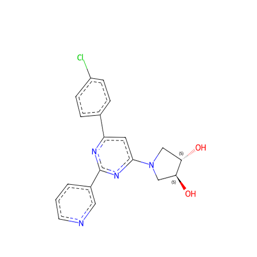 O[C@H]1CN(c2cc(-c3ccc(Cl)cc3)nc(-c3cccnc3)n2)C[C@@H]1O